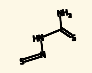 NC(=S)NN=S